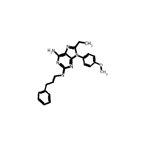 CCc1nc2c(N)nc(SCCCc3ccccc3)nc2n1-c1ccc(OC)cc1